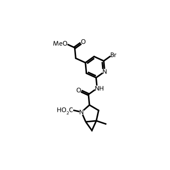 COC(=O)Cc1cc(Br)nc(NC(=O)C2CC3(C)CC3N2C(=O)O)c1